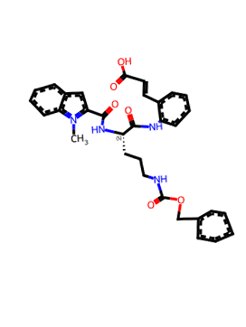 Cn1c(C(=O)N[C@@H](CCCNC(=O)OCc2ccccc2)C(=O)Nc2ccccc2C=CC(=O)O)cc2ccccc21